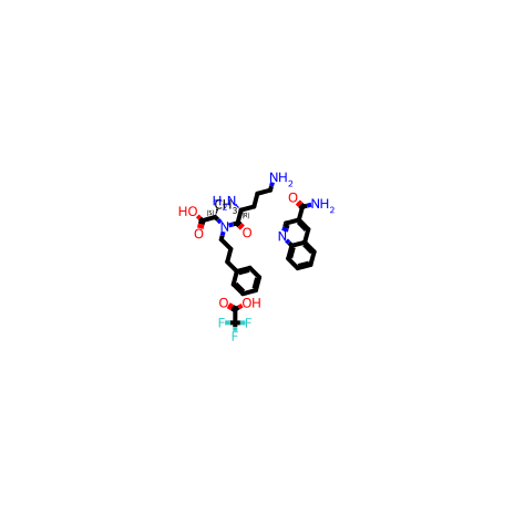 C[C@@H](C(=O)O)N(CCCc1ccccc1)C(=O)[C@H](N)CCCN.NC(=O)c1cnc2ccccc2c1.O=C(O)C(F)(F)F